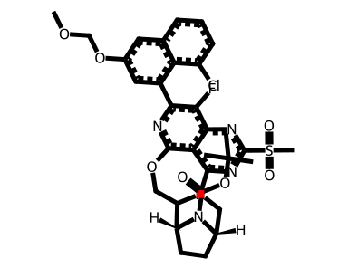 COCOc1cc(-c2nc3c4c(nc(S(C)(=O)=O)nc4c2F)N2C[C@@H]4CC[C@H](C2CO3)N4C(=O)OC(C)(C)C)c2c(Cl)cccc2c1